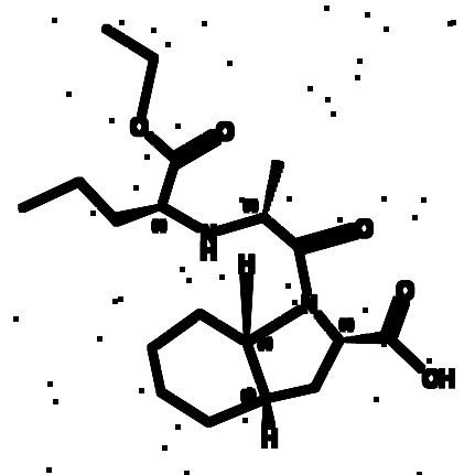 CCC[C@H](N[C@H](C)C(=O)N1[C@H](C(=O)O)C[C@@H]2CCCC[C@@H]21)C(=O)OCC